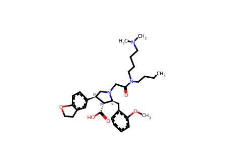 CCCCN(CCCCN(C)C)C(=O)CN1C[C@H](c2ccc3c(c2)CCO3)[C@@H](C(=O)O)[C@@H]1Cc1ccccc1OC